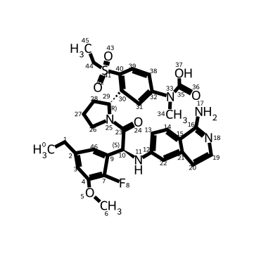 CCc1cc(OC)c(F)c([C@H](Nc2ccc3c(N)nccc3c2)C(=O)N2CCC[C@@H]2c2cc(N(C)C(=O)O)ccc2S(=O)(=O)CC)c1